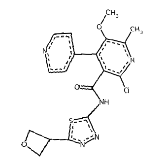 COc1c(C)nc(Cl)c(C(=O)Nc2nnc(C3COC3)s2)c1-c1ccncc1